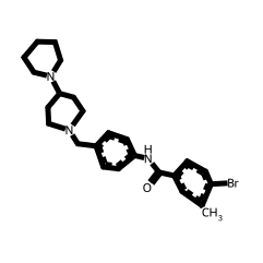 Cc1cc(C(=O)Nc2ccc(CN3CCC(N4CCCCC4)CC3)cc2)ccc1Br